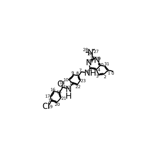 Cc1ccc2c(NCc3ccc(NC(=O)c4ccc(Cl)cc4)cc3)nc(N(C)C)nc2c1